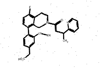 CCOc1cc(CC(=O)O)ccc1-c1ccc(F)c2c1CN(C(=O)CC(C)c1ccccn1)CC2